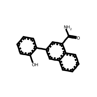 NC(=O)c1cc(-c2ccccc2O)cc2ccccc12